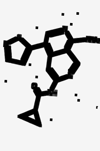 CNc1ncc(-c2ccns2)c2cc(NC(=O)C3CC3)ncc12